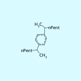 CCCCCC(C)c1ccc(C(C)CCCCC)cc1